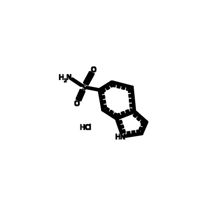 Cl.NS(=O)(=O)c1ccc2cc[nH]c2c1